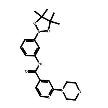 CC1(C)OB(c2cccc(NC(=O)c3ccnc(N4CCOCC4)c3)c2)OC1(C)C